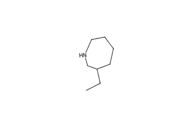 CCC1CCCCNC1